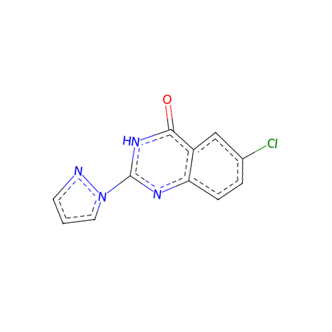 O=c1[nH]c(-n2cccn2)nc2ccc(Cl)cc12